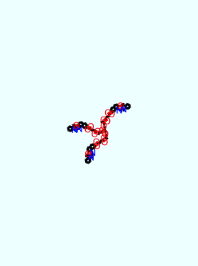 CC(COCC(COCC(C)OC(=O)CCC(=O)Oc1ccc2ccc3c(c2c1)N=CC1(O3)N(C)c2ccccc2C1(C)C)OCC(C)OC(=O)CCC(=O)Oc1ccc2ccc3c(c2c1)N=CC1(O3)N(C)c2ccccc2C1(C)C)OC(=O)CCC(=O)Oc1ccc2ccc3c(c2c1)N=CC1(O3)N(C)c2ccccc2C1(C)C